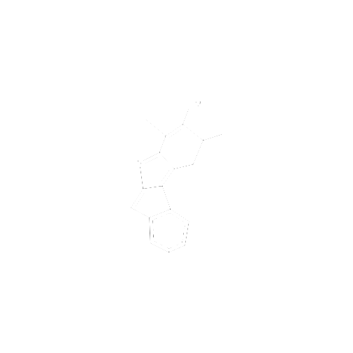 COC1=C(C)C2=NC3=Cc4ccccc4C3=C2CC1C